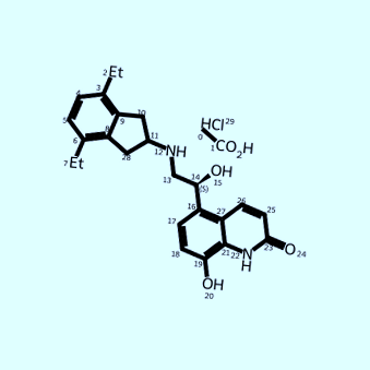 CC(=O)O.CCc1ccc(CC)c2c1CC(NC[C@@H](O)c1ccc(O)c3[nH]c(=O)ccc13)C2.Cl